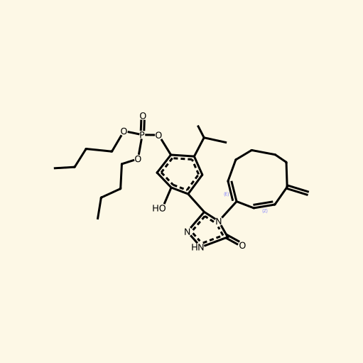 C=C1/C=C\C(n2c(-c3cc(C(C)C)c(OP(=O)(OCCCC)OCCCC)cc3O)n[nH]c2=O)=C/CCCC1